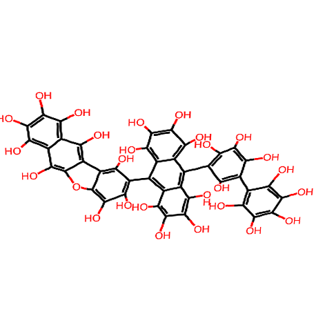 Oc1c(O)c(O)c(-c2c(O)c(O)c(O)c(-c3c4c(O)c(O)c(O)c(O)c4c(-c4c(O)c(O)c5oc6c(O)c7c(O)c(O)c(O)c(O)c7c(O)c6c5c4O)c4c(O)c(O)c(O)c(O)c34)c2O)c(O)c1O